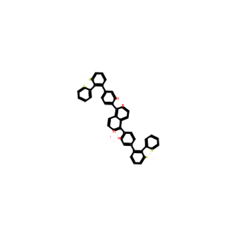 c1ccc2c(c1)sc1cccc(-c3ccc4c(c3)oc3ccc5c(ccc6oc7cc(-c8cccc9sc%10ccccc%10c89)ccc7c65)c34)c12